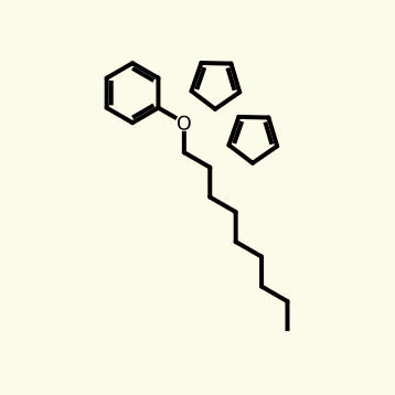 C1=CCC=C1.C1=CCC=C1.CCCCCCCCCOc1ccccc1